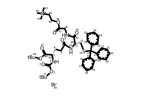 CC(C)(C)OC(=O)N[C@@H](CCC(=O)N[C@@H](CSC(c1ccccc1)(c1ccccc1)c1ccccc1)C(=O)NCC(=O)OCC[N+](C)(C)C)C(=O)OC(C)(C)C.[Br-]